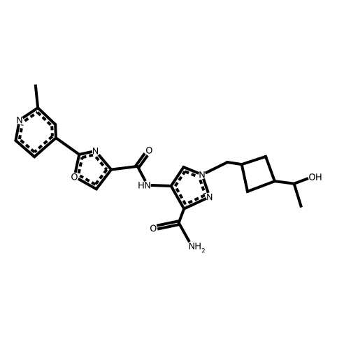 Cc1cc(-c2nc(C(=O)Nc3cn(CC4CC(C(C)O)C4)nc3C(N)=O)co2)ccn1